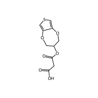 O=C(O)CC(=O)OC1COc2cscc2OC1